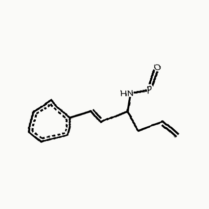 C=CCC(/C=C/c1ccccc1)NP=O